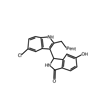 CCCC(C)Cc1[nH]c2ccc(Cl)cc2c1C1NC(=O)c2ccc(O)cc21